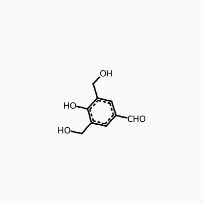 O=Cc1cc(CO)c(O)c(CO)c1